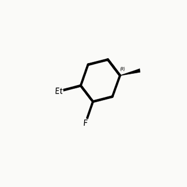 CCC1CC[C@@H](C)CC1F